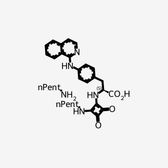 CCCCCN.CCCCCNc1c(N[C@@H](Cc2ccc(Nc3nccc4ccccc34)cc2)C(=O)O)c(=O)c1=O